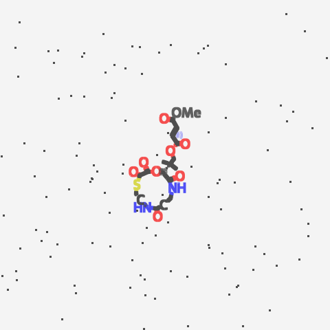 COC(=O)/C=C/C(=O)OCC(C)(C)[C@H]1OC(=O)C(=O)SCCNC(=O)CCNC1=O